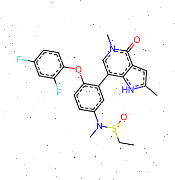 CC[S+]([O-])N(C)c1ccc(Oc2ccc(F)cc2F)c(-c2cn(C)c(=O)c3cc(C)[nH]c23)c1